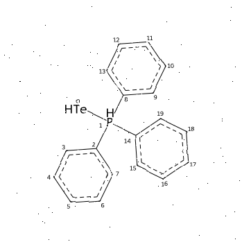 [TeH][PH](c1ccccc1)(c1ccccc1)c1ccccc1